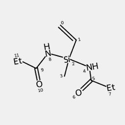 C=C[Si](C)(NC(=O)CC)NC(=O)CC